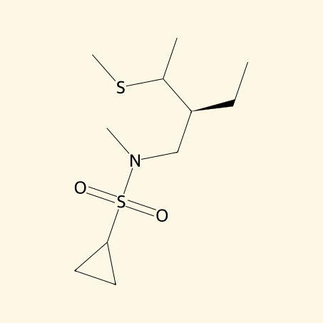 CC[C@@H](CN(C)S(=O)(=O)C1CC1)C(C)SC